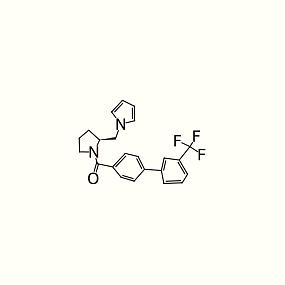 O=C(c1ccc(-c2cccc(C(F)(F)F)c2)cc1)N1CCC[C@H]1Cn1cccc1